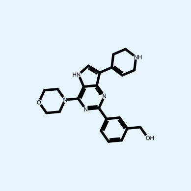 OCc1cccc(-c2nc(N3CCOCC3)c3[nH]cc(C4=CCNCC4)c3n2)c1